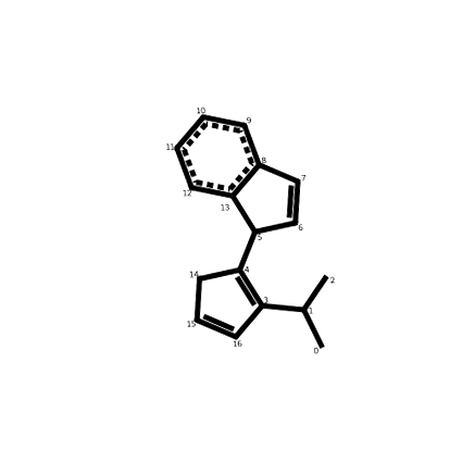 CC(C)C1=C(C2C=Cc3ccccc32)CC=C1